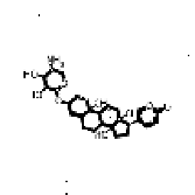 C[C@]12CC[C@H](OC3OC[C@H](N)[C@H](O)[C@@H]3O)C=C1CCC1C2CC[C@]2(C)[C@@H](c3ccc(=O)oc3)CC[C@]12O